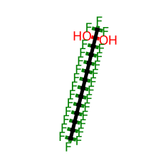 OC(O)(C(F)(F)F)C(F)(F)C(F)(F)C(F)(F)C(F)(F)C(F)(F)C(F)(F)C(F)(F)C(F)(F)C(F)(F)C(F)(F)C(F)(F)C(F)(F)F